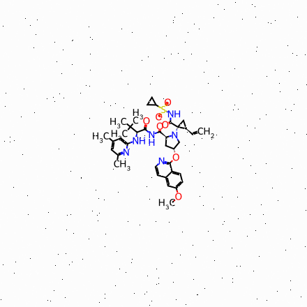 C=C[C@@H]1C[C@@]1(C(=O)NS(=O)(=O)C1CC1)N1C[C@H](Oc2nccc3cc(OC)ccc23)C[C@H]1C(=O)NC(=O)[C@@H](Nc1cc(C)cc(C)n1)C(C)(C)C